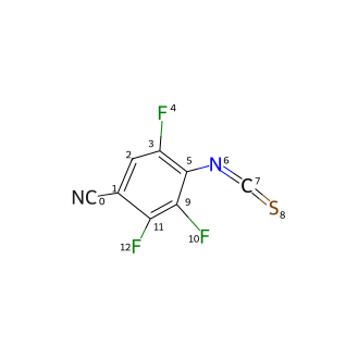 N#Cc1cc(F)c(N=C=S)c(F)c1F